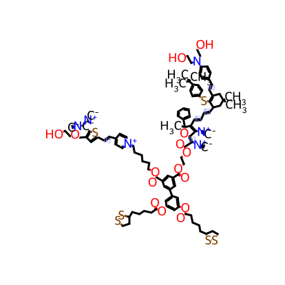 [C-]#[N+]C1=C(/C=C/C=C/C2CC(C)(C)CC(/C=C/c3ccc(N(CCO)CCO)cc3)=C2Sc2ccc(C(C)(C)C)cc2)C(C)(c2ccccc2)O/C1=C(/[N+]#[C-])C(=O)OCCOC(=O)c1cc(C(=O)OCCCCCC[n+]2ccc(/C=C/c3cc(COCCO)c([C-]([N+]#[C-])[N+]#[C-])s3)cc2)cc(-c2cc(OC(=O)CCCCC3CCSS3)cc(OC(=O)CCCCC3CCSS3)c2)c1